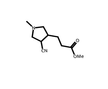 COC(=O)CCC1CN(C)CC1C#N